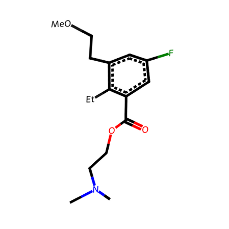 CCc1c(CCOC)cc(F)cc1C(=O)OCCN(C)C